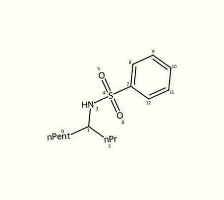 CCCCCC(CCC)NS(=O)(=O)c1ccccc1